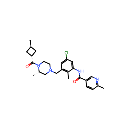 Cc1ccc(C(=O)Nc2cc(Cl)cc(CN3CCN(C(=O)[C@H]4C[C@H](C)C4)[C@@H](C)C3)c2C)cn1